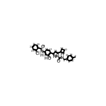 Cc1ccc(CNC(=O)n2nc(-c3ccc(NC(=O)c4ccccc4Cl)cc3O)cc2C2CCC2)cc1